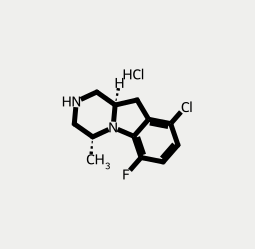 C[C@@H]1CNC[C@H]2Cc3c(Cl)ccc(F)c3N21.Cl